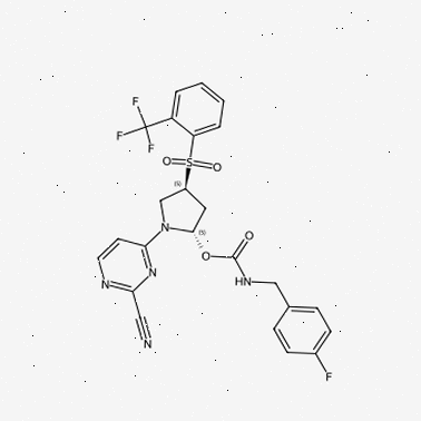 N#Cc1nccc(N2C[C@@H](S(=O)(=O)c3ccccc3C(F)(F)F)C[C@@H]2OC(=O)NCc2ccc(F)cc2)n1